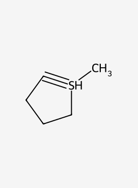 C[SH]1#CCCC1